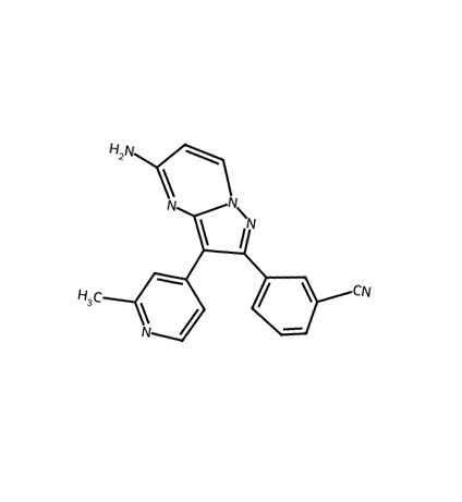 Cc1cc(-c2c(-c3cccc(C#N)c3)nn3ccc(N)nc23)ccn1